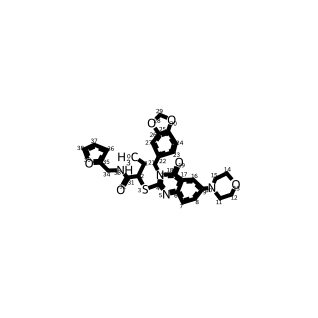 CCC(Sc1nc2ccc(N3CCOCC3)cc2c(=O)n1Cc1ccc2c(c1)OCO2)C(=O)NCc1ccco1